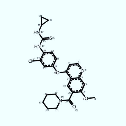 COc1cc2nccc(Oc3ccc(NC(=S)NC4CC4)c(Cl)c3)c2cc1C(=O)N1CCCCC1